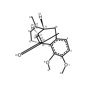 COc1ccc2c(c1OC)[C@]13CCN(C)[C@H](C2)[C@@H]1C=CC(=O)C3